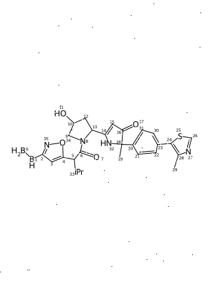 BBc1cc(C(C(=O)N2CC(O)CC2C2=CC(=O)C(C)(c3ccc(-c4scnc4C)cc3)N2)C(C)C)on1